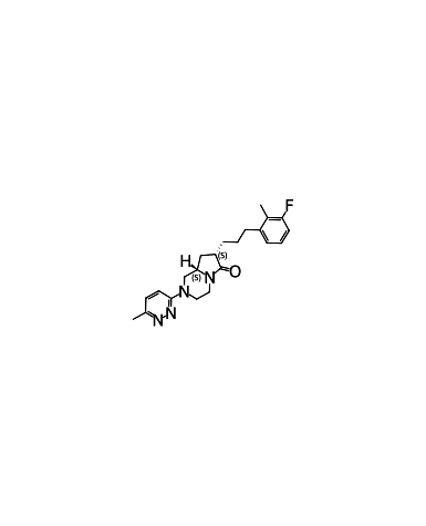 Cc1ccc(N2CCN3C(=O)[C@@H](CCCc4cccc(F)c4C)C[C@H]3C2)nn1